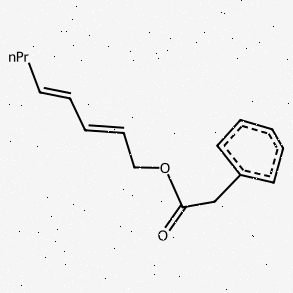 CCCC=CC=CCOC(=O)Cc1ccccc1